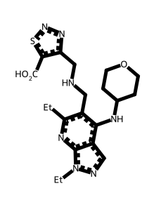 CCc1nc2c(cnn2CC)c(NC2CCOCC2)c1CNCc1nnsc1C(=O)O